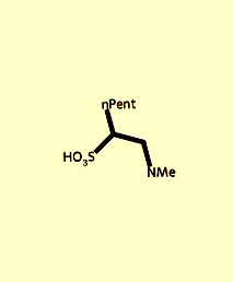 CCCCCC(CNC)S(=O)(=O)O